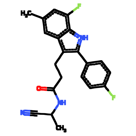 Cc1cc(F)c2[nH]c(-c3ccc(F)cc3)c(CCC(=O)NC(C)C#N)c2c1